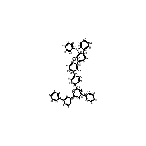 c1ccc(-c2cccc(-c3nc(-c4ccccc4)nc(-c4ccc(-c5ccc6oc7c(ccc8c9ccccc9n(-c9ccccc9)c87)c6c5)cc4)n3)c2)cc1